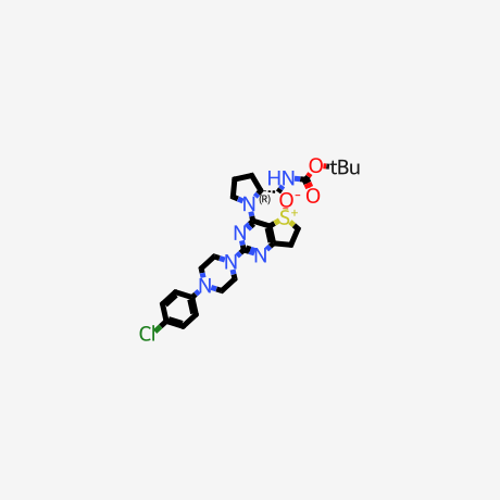 CC(C)(C)OC(=O)NC[C@H]1CCCN1c1nc(N2CCN(c3ccc(Cl)cc3)CC2)nc2c1[S+]([O-])CC2